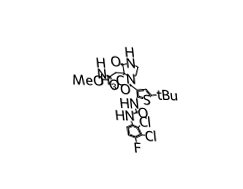 CONC(=O)CC1(C)C(=O)NCCN1C(=O)c1cc(C(C)(C)C)sc1NC(=O)Nc1ccc(F)c(Cl)c1Cl